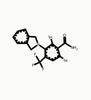 [2H]c1cc(C(F)(F)F)c(N2Cc3ccccc3C2)c([2H])c1C(N)=O